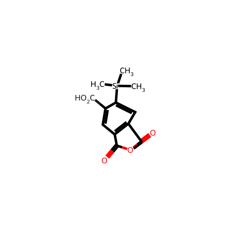 C[Si](C)(C)c1cc2c(cc1C(=O)O)C(=O)OC2=O